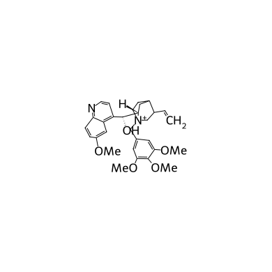 C=CC1C[N+]2(Cc3cc(OC)c(OC)c(OC)c3)CCC1C[C@H]2[C@H](O)c1ccnc2ccc(OC)cc12